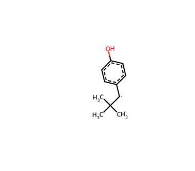 CC(C)(C)[CH]c1ccc(O)cc1